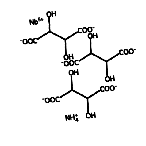 O=C([O-])C(O)C(O)C(=O)[O-].O=C([O-])C(O)C(O)C(=O)[O-].O=C([O-])C(O)C(O)C(=O)[O-].[NH4+].[Nb+5]